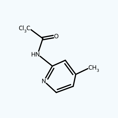 Cc1ccnc(NC(=O)C(Cl)(Cl)Cl)c1